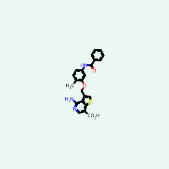 Cc1ccc(NC(=O)c2ccccc2)cc1OCc1csc2c(C(=O)O)cnc(N)c12